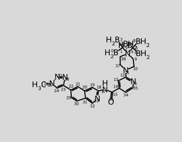 BC(B)(B)[N+]1(C(B)(B)B)CCN(c2cc(C(=O)Nc3cc4cc(-c5cn(C)nn5)ccc4cn3)ccn2)CC1